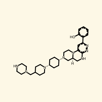 Oc1ccccc1-c1cc2c(nn1)NC[C@H]1CN([C@H]3CC[C@@H](N4CCC(CN5CCNCC5)CC4)CC3)CCN21